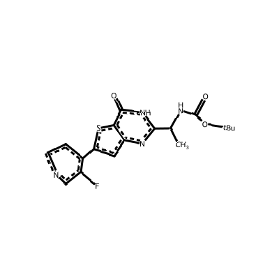 CC(NC(=O)OC(C)(C)C)c1nc2cc(-c3ccncc3F)sc2c(=O)[nH]1